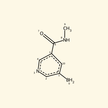 Bc1cncc(C(=O)NC)c1